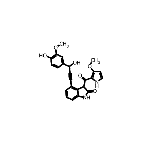 COc1cc(C(O)C#Cc2cccc3c2C(C(=O)c2[nH]ccc2OC)C(=O)N3)ccc1O